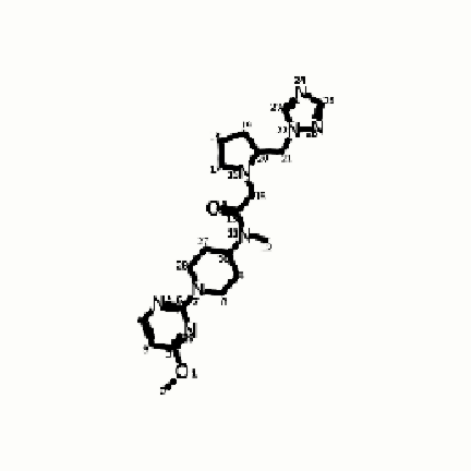 COc1ccnc(N2CCC(N(C)C(=O)CN3CCCC3Cn3cncn3)CC2)n1